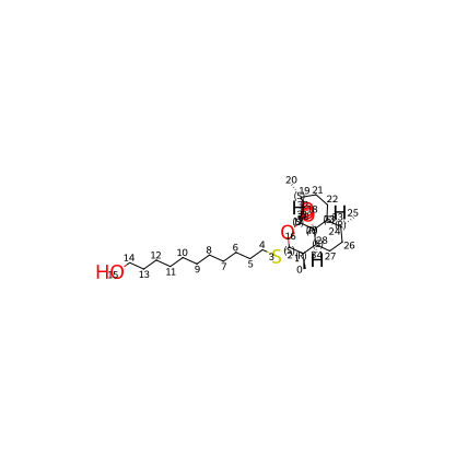 C[C@H]1[C@H](SCCCCCCCCCCCO)O[C@@H]2O[C@]3(C)CC[C@H]4[C@H](C)CC[C@@H]1[C@@]24OO3